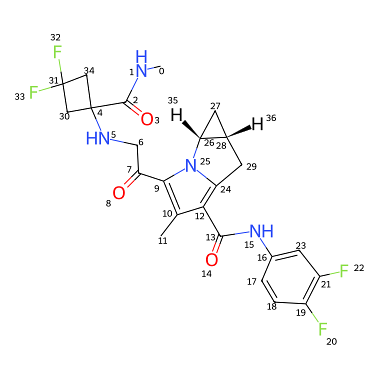 CNC(=O)C1(NCC(=O)c2c(C)c(C(=O)Nc3ccc(F)c(F)c3)c3n2[C@@H]2C[C@@H]2C3)CC(F)(F)C1